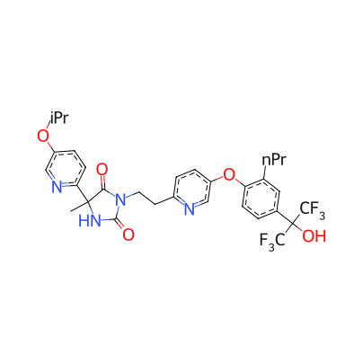 CCCc1cc(C(O)(C(F)(F)F)C(F)(F)F)ccc1Oc1ccc(CCN2C(=O)NC(C)(c3ccc(OC(C)C)cn3)C2=O)nc1